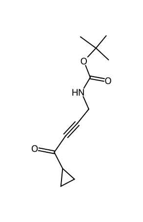 CC(C)(C)OC(=O)NCC#CC(=O)C1CC1